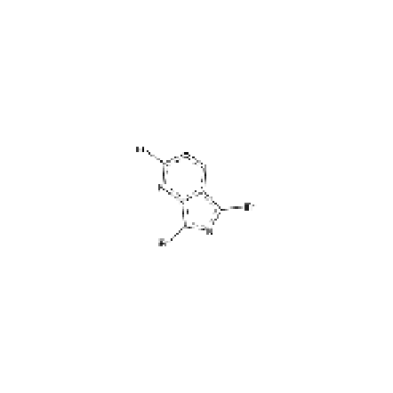 CCc1ccc2c(C(C)C)nc(C(C)C)n2n1